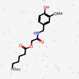 CCCCCCCCCCCCCCC(=O)OCC(=O)NCc1ccc(O)c(OC)c1